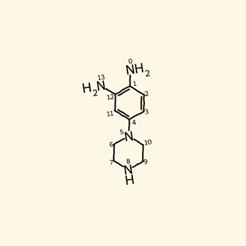 Nc1ccc(N2CCNCC2)cc1N